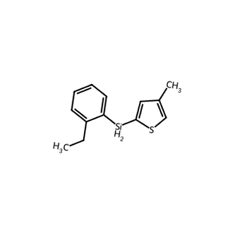 CCc1ccccc1[SiH2]c1cc(C)cs1